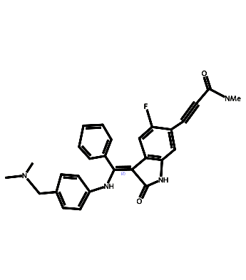 CNC(=O)C#Cc1cc2c(cc1F)/C(=C(/Nc1ccc(CN(C)C)cc1)c1ccccc1)C(=O)N2